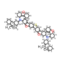 CC1(C)c2ccccc2-c2cc(N(c3ccc4c(c3)oc3cc5c(cc34)sc3cc4c(cc35)oc3cc(N(c5ccc6c(c5)-c5ccccc5C6(C)C)c5cccc6oc7ccccc7c56)ccc34)c3cccc4oc5ccccc5c34)ccc21